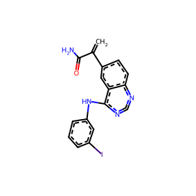 C=C(C(N)=O)c1ccc2ncnc(Nc3cccc(I)c3)c2c1